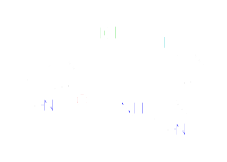 Cc1ccc2cccc(OCCNCc3cncc(-c4cccc(F)c4)c3)c2n1.Cl